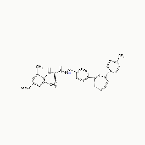 COc1cc(C)c(NC(=S)N/N=C/c2ccc(C3=NN(c4ccc(C(F)(F)F)cc4)C=C=CC3)cc2)c(C)c1